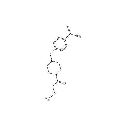 COCC(=O)N1CCN(Cc2ccc(C(N)=O)cc2)CC1